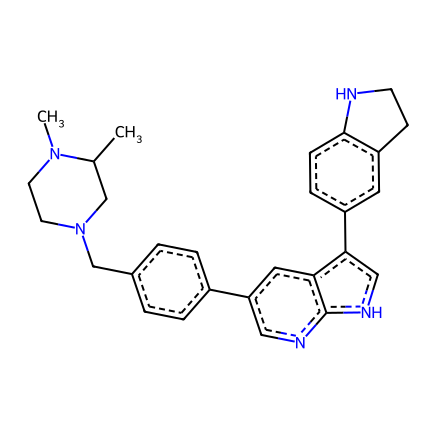 CC1CN(Cc2ccc(-c3cnc4[nH]cc(-c5ccc6c(c5)CCN6)c4c3)cc2)CCN1C